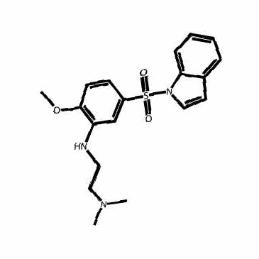 COc1ccc(S(=O)(=O)n2ccc3ccccc32)cc1NCCN(C)C